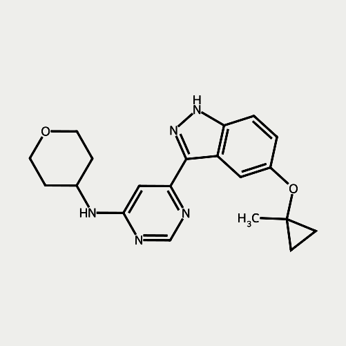 CC1(Oc2ccc3[nH]nc(-c4cc(NC5CCOCC5)ncn4)c3c2)CC1